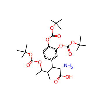 CC(OC(=O)OC(C)(C)C)C(C)C(c1ccc(OC(=O)OC(C)(C)C)c(OC(=O)OC(C)(C)C)c1)[C@H](N)C(=O)O